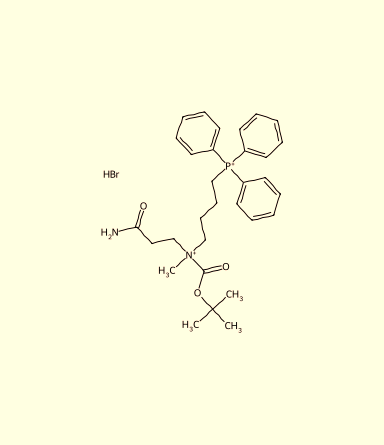 Br.CC(C)(C)OC(=O)[N+](C)(CCCC[P+](c1ccccc1)(c1ccccc1)c1ccccc1)CCC(N)=O